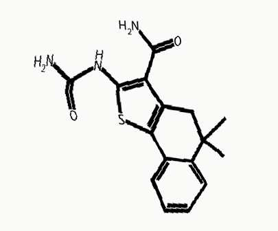 CC1(C)Cc2c(sc(NC(N)=O)c2C(N)=O)-c2ccccc21